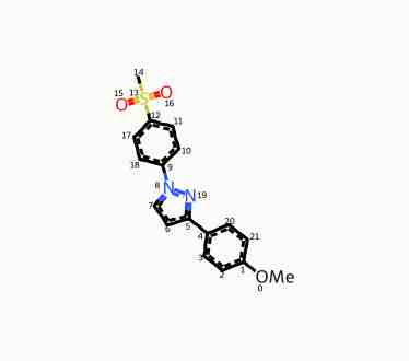 COc1ccc(-c2ccn(-c3ccc(S(C)(=O)=O)cc3)n2)cc1